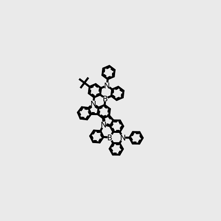 CC(C)(C)c1cc2c3c(c1)-n1c4ccccc4c4c1c(cc1c5ccc6c7c5n(c14)-c1ccccc1B7c1ccccc1N6c1ccccc1)B3c1ccccc1N2c1ccccc1